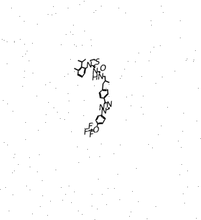 Cc1cccc(N2CCS/C2=N\C(=O)NCC(C)Cc2ccc(-c3ncn(-c4ccc(OC(F)(F)F)cc4)n3)cc2)c1C(C)C